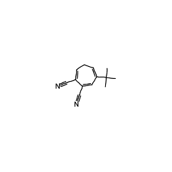 CC(C)(C)C1=CCC=C(C#N)C(C#N)=C1